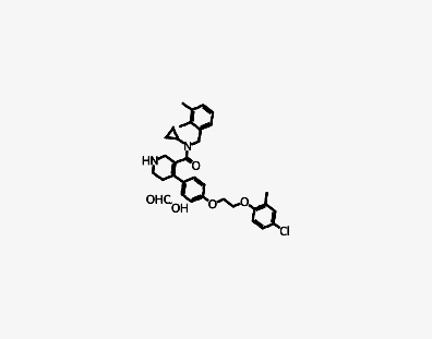 Cc1cc(Cl)ccc1OCCOc1ccc(C2=C(C(=O)N(Cc3cccc(C)c3C)C3CC3)CNCC2)cc1.O=CO